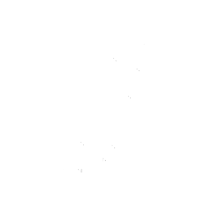 Cc1nc2ccc(-c3ccn4nc(NC5CCC5)ncc34)nc2n1CC(F)F